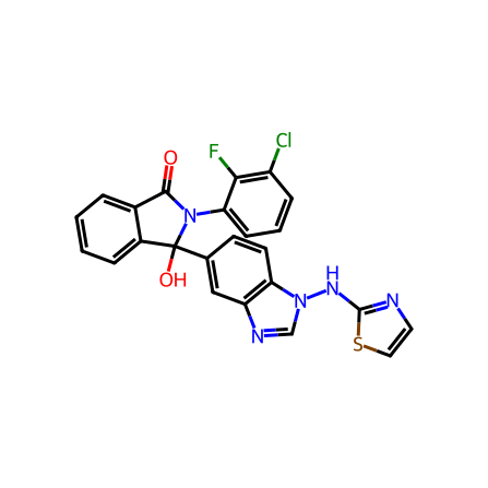 O=C1c2ccccc2C(O)(c2ccc3c(c2)ncn3Nc2nccs2)N1c1cccc(Cl)c1F